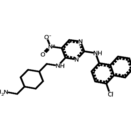 NCC1CCC(CNc2nc(Nc3ccc(Cl)c4ccccc34)ncc2[N+](=O)[O-])CC1